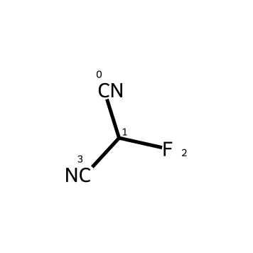 N#CC(F)C#N